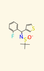 CC(C)(C)[S+]([O-])/N=C(\c1ccsc1)c1ccccc1F